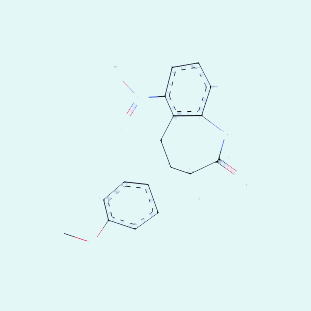 COc1ccc([C@@H]2Cc3c(cccc3[N+](=O)[O-])NC(=O)[C@@H]2O)cc1